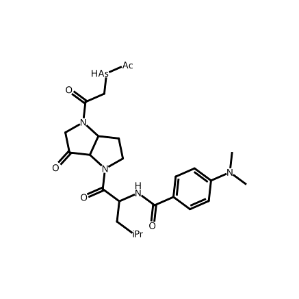 CC(=O)[AsH]CC(=O)N1CC(=O)C2C1CCN2C(=O)C(CC(C)C)NC(=O)c1ccc(N(C)C)cc1